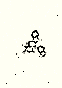 CN1CC(=O)N2[C@H](c3ccc4c(c3)OCO4)c3[nH]c4ccccc4c3C[C@@H]2C1=O.Cl.Cl